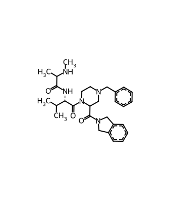 CNC(C)C(=O)N[C@H](C(=O)N1CCN(Cc2ccccc2)CC1C(=O)N1Cc2ccccc2C1)C(C)C